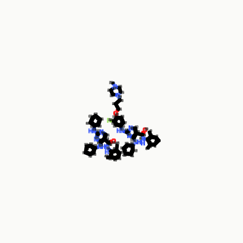 Cc1cccc(C)c1NC(=O)c1cnc(Nc2ccc(OCCCN3CCN(C)CC3)c(F)c2)nc1Nc1ccccc1.Cc1cccc(C)c1NC(=O)c1cnc(Nc2ccccc2)nc1Nc1ccccc1